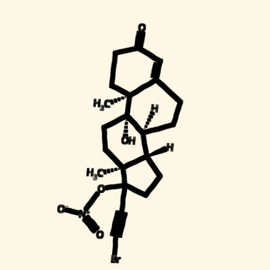 C[C@]12CC[C@]3(O)[C@@H](CCC4=CC(=O)CC[C@@]43C)[C@@H]1CCC2(C#CBr)O[N+](=O)[O-]